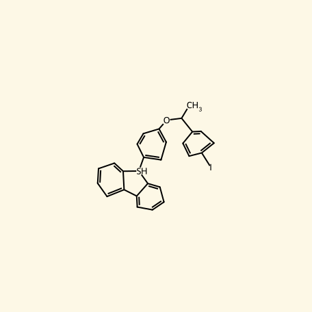 CC(Oc1ccc([SH]2c3ccccc3-c3ccccc32)cc1)c1ccc(I)cc1